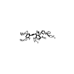 C=CC(=O)N1CC[C@H](n2nc(C#Cc3cc(OC)cc(OC)c3F)c3c(N)ncc(C(C)=O)c32)C1